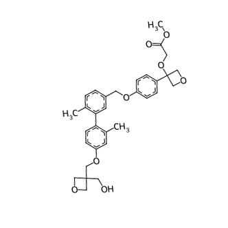 COC(=O)COC1(c2ccc(OCc3ccc(C)c(-c4ccc(OCC5(CO)COC5)cc4C)c3)cc2)COC1